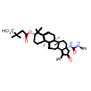 CC(C)NC(=O)N[C@@]12CC[C@]3(C)C(CCC4[C@@]5(C)CC[C@H](OC(=O)CC(C)(C)C(=O)O)C(C)(C)C5CC[C@]43C)C1=C(C(C)C)C(=O)C2